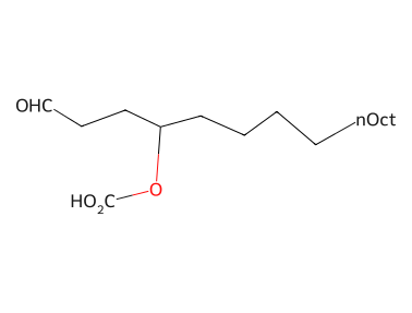 CCCCCCCCCCCCC(CCC=O)OC(=O)O